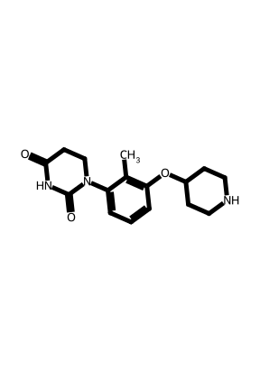 Cc1c(OC2CCNCC2)cccc1N1CCC(=O)NC1=O